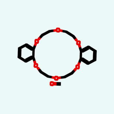 C=O.c1ccc2c(c1)OCCOCCOc1ccccc1OCCOCCO2